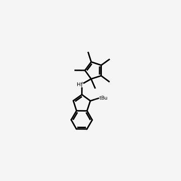 CC1=C(C)[C](C)([Hf][C]2=Cc3ccccc3C2C(C)(C)C)C(C)=C1C